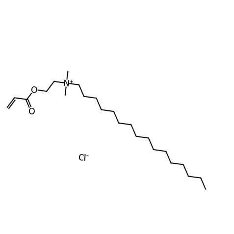 C=CC(=O)OCC[N+](C)(C)CCCCCCCCCCCCCCCC.[Cl-]